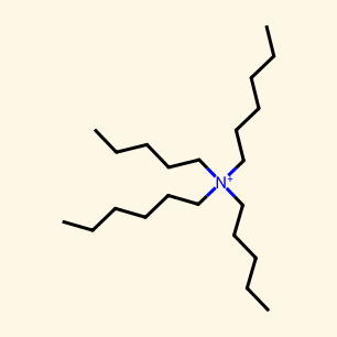 CCCCCC[N+](CCCCC)(CCCCC)CCCCCC